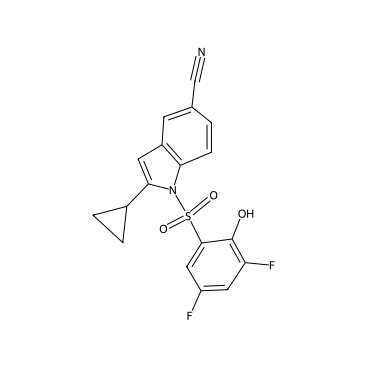 N#Cc1ccc2c(c1)cc(C1CC1)n2S(=O)(=O)c1cc(F)cc(F)c1O